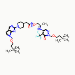 C[C@@H](CONC(=O)CC1CCN(c2ncc3ccn(COCC[Si](C)(C)C)c3n2)CC1)Nc1cnn(COCC[Si](C)(C)C)c(=O)c1C(F)(F)F